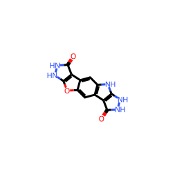 O=c1[nH][nH]c2[nH]c3cc4c(cc3c12)oc1[nH][nH]c(=O)c14